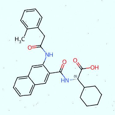 Cc1ccccc1CC(=O)Nc1cc2ccccc2cc1C(=O)N[C@H](C(=O)O)C1CCCCC1